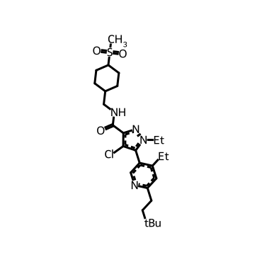 CCc1cc(CCC(C)(C)C)ncc1-c1c(Cl)c(C(=O)NCC2CCC(S(C)(=O)=O)CC2)nn1CC